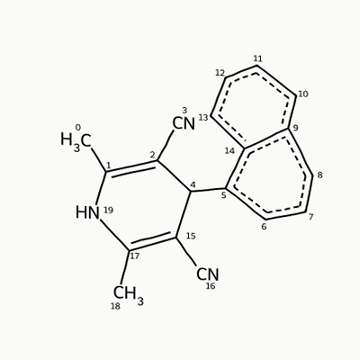 CC1=C(C#N)C(c2cccc3ccccc23)C(C#N)=C(C)N1